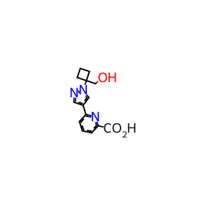 O=C(O)c1cccc(-c2cnn(C3(CO)CCC3)c2)n1